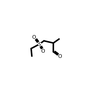 CCS(=O)(=O)CC(C)C=O